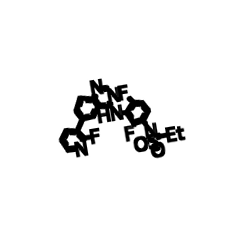 CCC1N(c2ccc(F)c(Nc3ncnc4ccc(-c5cccnc5F)cc34)c2F)S1(=O)=O